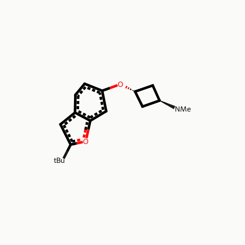 CN[C@H]1C[C@H](Oc2ccc3cc(C(C)(C)C)oc3c2)C1